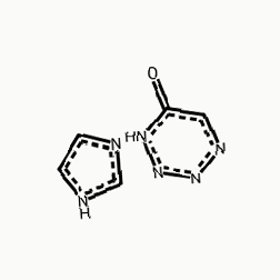 O=c1cnnn[nH]1.c1c[nH]cn1